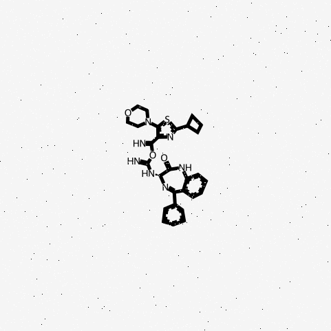 N=C(N[C@H]1N=C(c2ccccc2)c2ccccc2NC1=O)OC(=N)c1nc(C2CCC2)sc1N1CCOCC1